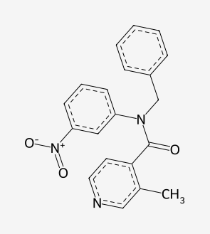 Cc1cnccc1C(=O)N(Cc1ccccc1)c1cccc([N+](=O)[O-])c1